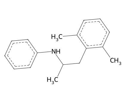 Cc1cccc(C)c1CC(C)Nc1ccccc1